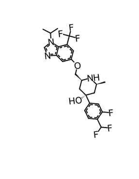 CC(C)n1cnc2cc(OC[C@@H]3C[C@](O)(c4ccc(C(F)F)c(F)c4)C[C@H](C)N3)cc(C(F)(F)F)c21